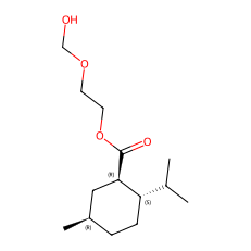 CC(C)[C@@H]1CC[C@@H](C)C[C@H]1C(=O)OCCOCO